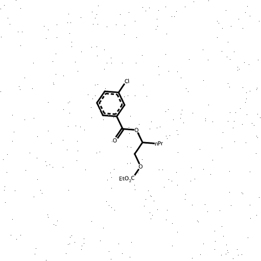 CCCC(COC(=O)OCC)OC(=O)c1cccc(Cl)c1